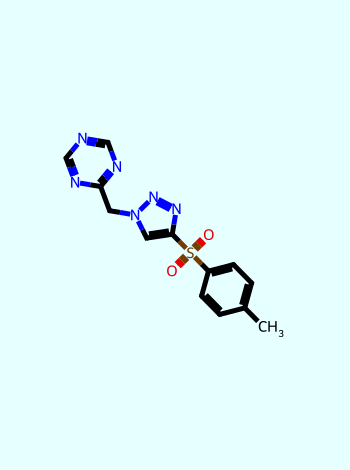 Cc1ccc(S(=O)(=O)c2cn(Cc3ncncn3)nn2)cc1